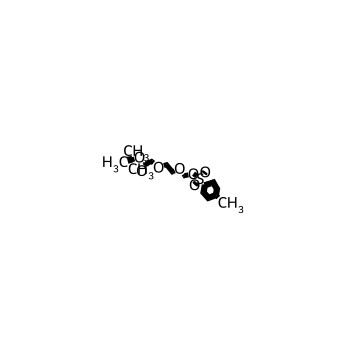 Cc1ccc(S(=O)(=O)OCOCCOCC(=O)OC(C)(C)C)cc1